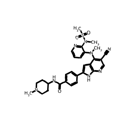 CN1CCC(NC(=O)c2ccc(-c3cc4c(N(C)c5cccnc5N(C)S(C)(=O)=O)c(C#N)cnc4[nH]3)cc2)CC1